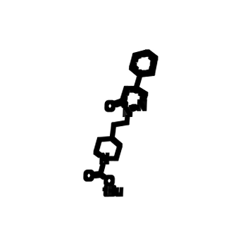 CC(C)(C)OC(=O)N1CCC(CCn2ncc(-c3ccccc3)cc2=O)CC1